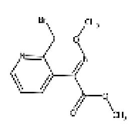 CO/N=C(/C(=O)OC)c1cccnc1CBr